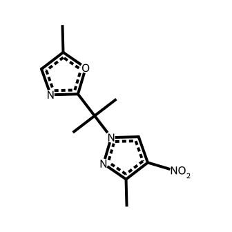 Cc1cnc(C(C)(C)n2cc([N+](=O)[O-])c(C)n2)o1